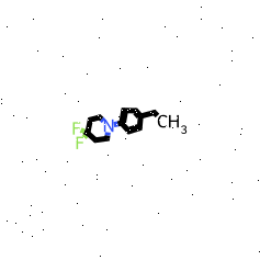 CCc1ccc(N2CCC(F)(F)CC2)cc1